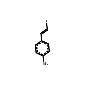 CC(C)(C)c1ccc(C=CI)cc1